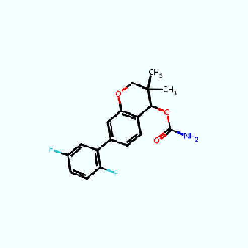 CC1(C)COc2cc(-c3cc(F)ccc3F)ccc2C1OC(N)=O